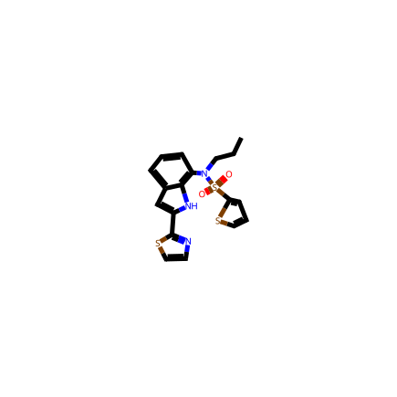 CCCN(c1cccc2cc(-c3nccs3)[nH]c12)S(=O)(=O)c1cccs1